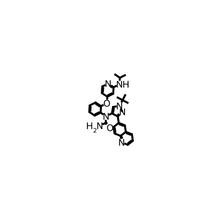 CC(C)Nc1cc(Oc2ccccc2N(C(N)=O)c2cn(C(C)(C)C)nc2-c2ccc3ncccc3c2)ccn1